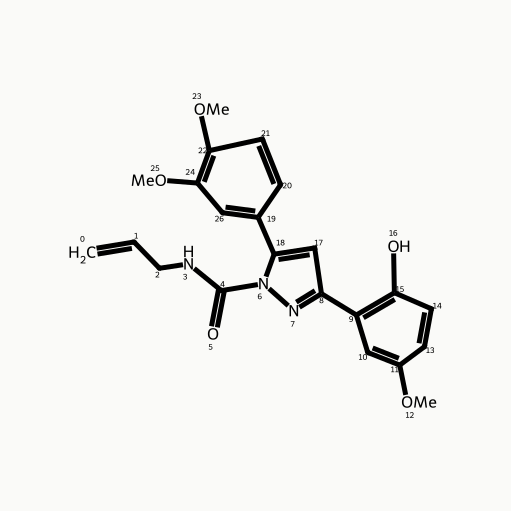 C=CCNC(=O)n1nc(-c2cc(OC)ccc2O)cc1-c1ccc(OC)c(OC)c1